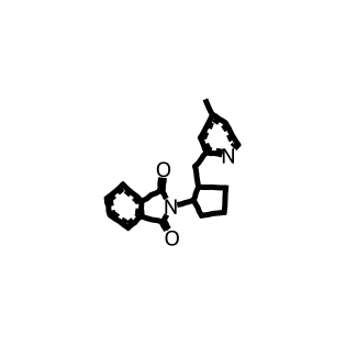 Cc1ccnc(CC2CCCC2N2C(=O)c3ccccc3C2=O)c1